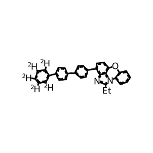 [2H]c1c([2H])c([2H])c(-c2ccc(-c3ccc(-c4ccc5c6c4nc(CC)n6-c4ccccc4O5)cc3)cc2)c([2H])c1[2H]